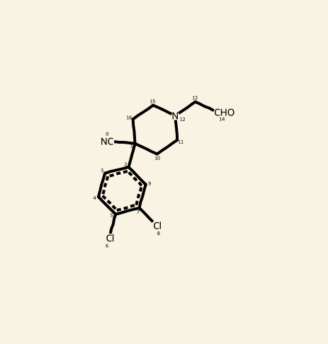 N#CC1(c2ccc(Cl)c(Cl)c2)CCN(CC=O)CC1